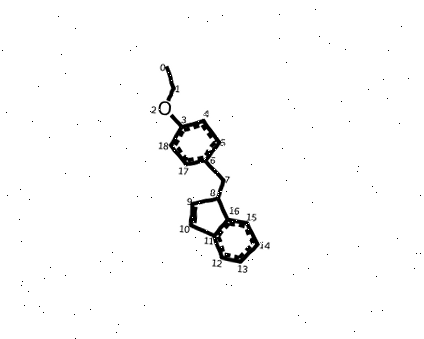 CCOc1ccc(CC2C=Cc3ccccc32)cc1